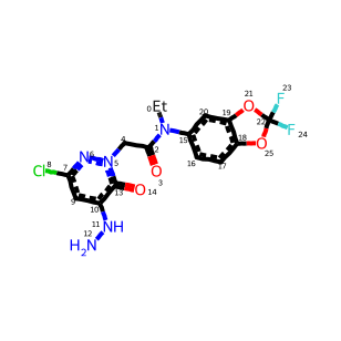 CCN(C(=O)Cn1nc(Cl)cc(NN)c1=O)c1ccc2c(c1)OC(F)(F)O2